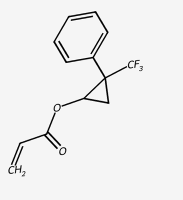 C=CC(=O)OC1CC1(c1ccccc1)C(F)(F)F